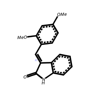 COc1ccc(/C=C2/C(=O)Nc3ccccc32)c(OC)c1